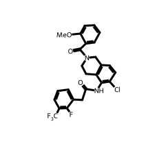 COc1ccccc1C(=O)N1CCc2c(ccc(Cl)c2NC(=O)Cc2cccc(C(F)(F)F)c2F)C1